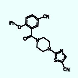 CC(C)Oc1ccc(C#N)cc1C(=O)N1CCN(c2ncc(C#N)s2)CC1